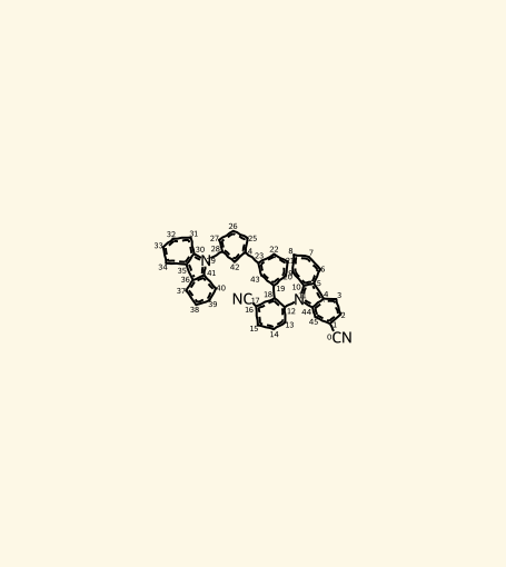 N#Cc1ccc2c3ccccc3n(-c3cccc(C#N)c3-c3cccc(-c4cccc(-n5c6ccccc6c6ccccc65)c4)c3)c2c1